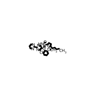 CCCCCc1ccc(S(=O)(=O)Nc2nc(-c3ncccn3)nc(Cl)c2Oc2ccccc2OC)s1